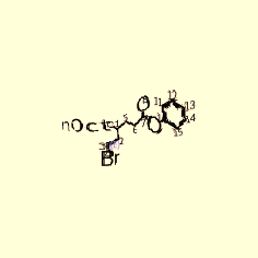 CCCCCCCCC(/C=C/Br)CCC(=O)Oc1ccccc1